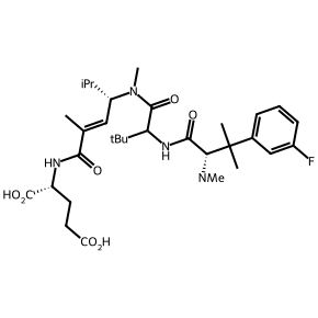 CN[C@H](C(=O)NC(C(=O)N(C)[C@H](/C=C(\C)C(=O)N[C@H](CCC(=O)O)C(=O)O)C(C)C)C(C)(C)C)C(C)(C)c1cccc(F)c1